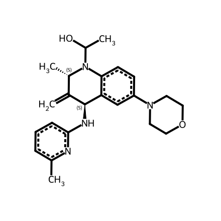 C=C1[C@H](Nc2cccc(C)n2)c2cc(N3CCOCC3)ccc2N(C(C)O)[C@H]1C